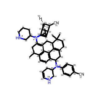 CC1CC(N(C2CCCNC2)C2C[C@@H]3C(C#N)C4C2=CC43)=C2CC3C4=C(CCC3(C)C)CC(N(c3ccc(C#N)cc3)C3CC=CNC3)c3ccc1c2c34